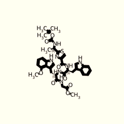 COC(=O)CNC(=O)[C@H](Cc1c[nH]c2cccc(OC)c12)NC(=O)[C@H](Cc1c[nH]c2ccccc12)NC(=O)c1csc([C@@H](C)NC(=O)OC(C)(C)C)n1